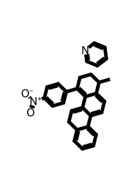 CC1CCC(c2ccc([N+](=O)[O-])cc2)=c2c1ccc1c2=CCc2ccccc2-1.c1ccncc1